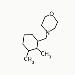 CC1CCCC(CN2CCOCC2)C1C